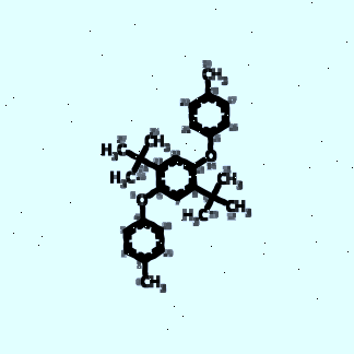 Cc1ccc(Oc2cc(C(C)(C)C)c(Oc3ccc(C)cc3)cc2C(C)(C)C)cc1